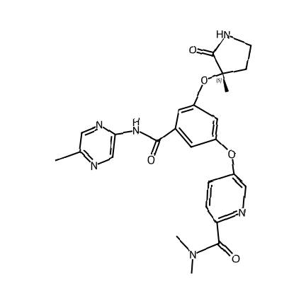 Cc1cnc(NC(=O)c2cc(Oc3ccc(C(=O)N(C)C)nc3)cc(O[C@@]3(C)CCNC3=O)c2)cn1